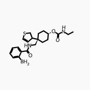 Bc1ccccc1C(=O)NC[C@]1(C2C=CSC2)CC[C@@H](OC(=O)NCC)CC1